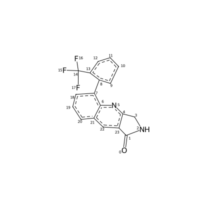 O=C1NCc2nc3c(-c4ccccc4C(F)(F)F)cccc3cc21